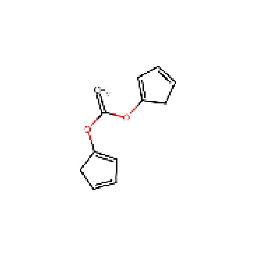 C=C(OC1=CC=CC1)OC1=CC=CC1